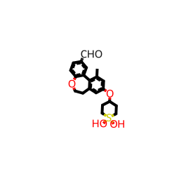 Cc1cc(OC2CCS(O)(O)CC2)cc2c1-c1cc(C=O)ccc1OCC2